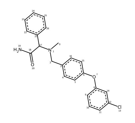 CN(Cc1ccc(Oc2cccc(Cl)c2)cc1)C(C(N)=O)c1ccccc1